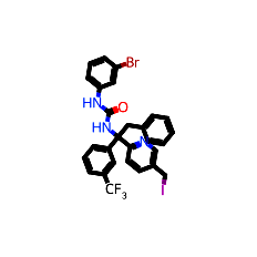 O=C(Nc1cccc(Br)c1)NC(Cc1ccccc1)(c1cccc(C(F)(F)F)c1)c1ccc(CI)cn1